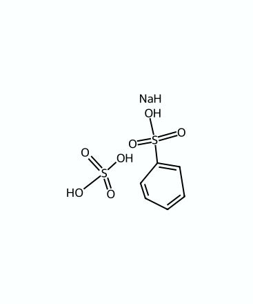 O=S(=O)(O)O.O=S(=O)(O)c1ccccc1.[NaH]